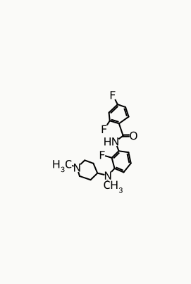 CN1CCC(N(C)c2cccc(NC(=O)c3ccc(F)cc3F)c2F)CC1